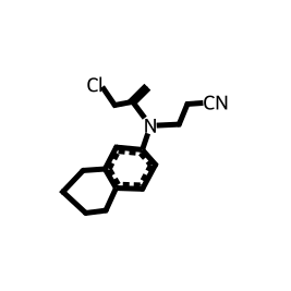 C=C(CCl)N(CCC#N)c1ccc2c(c1)CCCC2